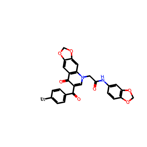 CCc1ccc(C(=O)c2cn(CC(=O)Nc3ccc4c(c3)OCO4)c3cc4c(cc3c2=O)OCO4)cc1